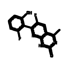 Cc1nc(=O)[nH]c2nc(-c3c(O)cccc3F)c(F)cc12